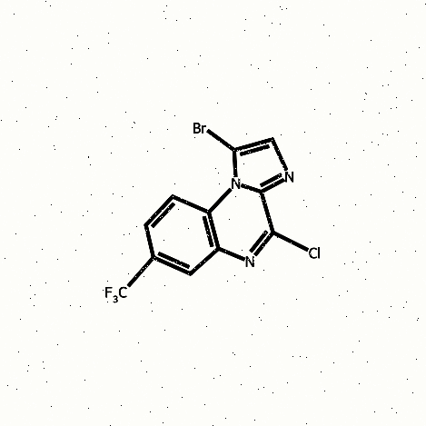 FC(F)(F)c1ccc2c(c1)nc(Cl)c1ncc(Br)n12